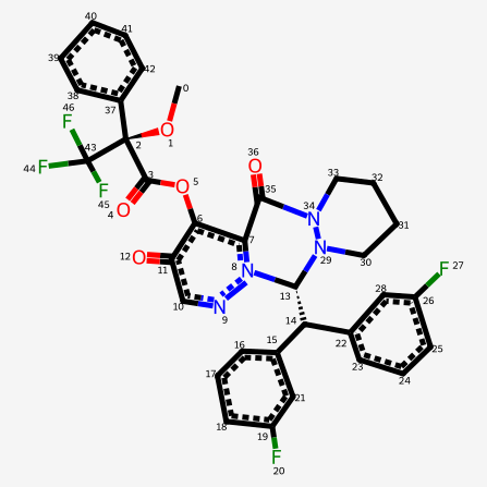 CO[C@](C(=O)Oc1c2n(ncc1=O)[C@@H](C(c1cccc(F)c1)c1cccc(F)c1)N1CCCCN1C2=O)(c1ccccc1)C(F)(F)F